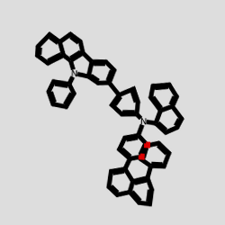 c1ccc(-c2cccc3cccc(-c4ccc(N(c5ccc(-c6ccc7c8ccc9ccccc9c8n(-c8ccccc8)c7c6)cc5)c5cccc6ccccc56)cc4)c23)cc1